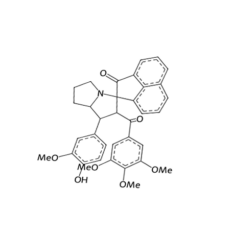 COc1cc(C2C3CCCN3C3(C(=O)c4cccc5cccc3c45)C2C(=O)c2cc(OC)c(OC)c(OC)c2)ccc1O